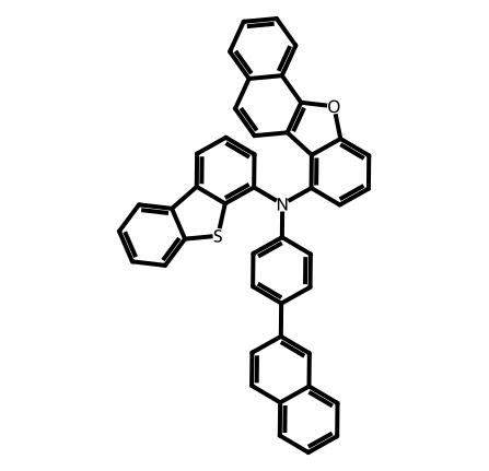 c1ccc2cc(-c3ccc(N(c4cccc5c4sc4ccccc45)c4cccc5oc6c7ccccc7ccc6c45)cc3)ccc2c1